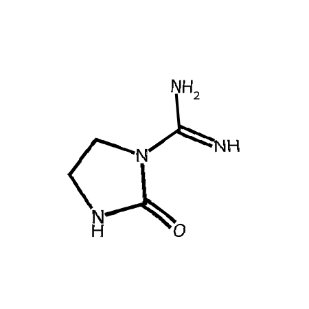 N=C(N)N1CCNC1=O